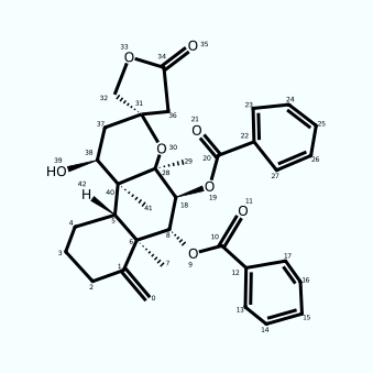 C=C1CCC[C@H]2[C@@]1(C)[C@@H](OC(=O)c1ccccc1)[C@H](OC(=O)c1ccccc1)[C@]1(C)O[C@@]3(COC(=O)C3)C[C@H](O)[C@]21C